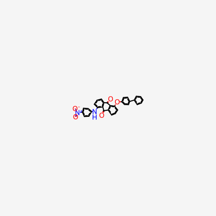 O=C1c2cccc(Oc3ccc(-c4ccccc4)cc3)c2C(=O)c2cccc(Nc3ccc([N+](=O)[O-])cc3)c21